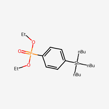 CCC[CH2][Sn]([CH2]CCC)([CH2]CCC)[c]1ccc(P(=O)(OCC)OCC)cc1